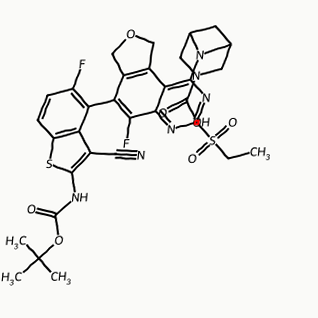 CCS(=O)(=O)c1nc(N2C3CC2CN(C(=O)O)C3)c2c3c(c(-c4c(F)ccc5sc(NC(=O)OC(C)(C)C)c(C#N)c45)c(F)c2n1)COC3